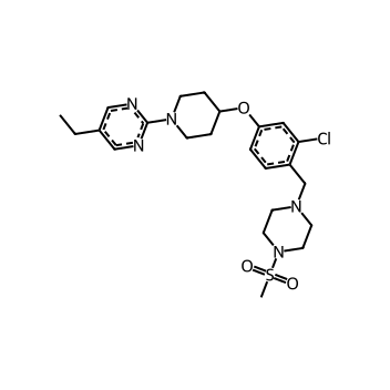 CCc1cnc(N2CCC(Oc3ccc(CN4CCN(S(C)(=O)=O)CC4)c(Cl)c3)CC2)nc1